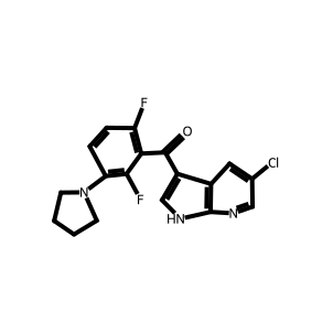 O=C(c1c(F)ccc(N2CCCC2)c1F)c1c[nH]c2ncc(Cl)cc12